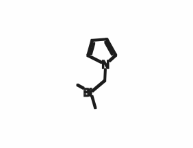 [CH3][Bi]([CH3])[CH2]n1cccc1